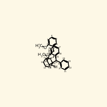 COc1ccccc1CN[C@@H]1C2CCN(CC2)[C@H]1C(c1ccccc1)c1ccccc1OC